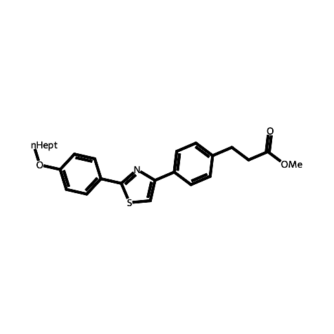 CCCCCCCOc1ccc(-c2nc(-c3ccc(CCC(=O)OC)cc3)cs2)cc1